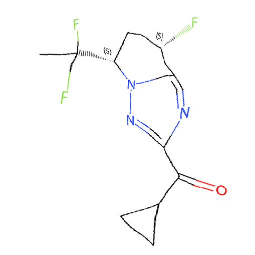 CC(F)(F)[C@@H]1C[C@H](F)c2nc(C(=O)C3CC3)nn21